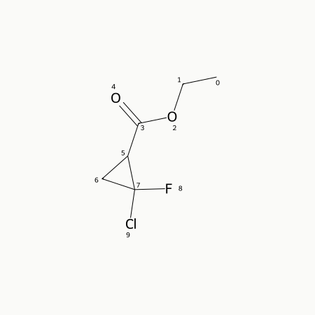 CCOC(=O)C1CC1(F)Cl